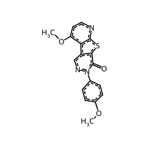 COc1ccc(-n2ncc3c(sc4nccc(OC)c43)c2=O)cc1